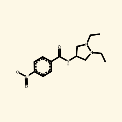 CCN1CC(NC(=O)c2ccc([N+](=O)[O-])cc2)CN1CC